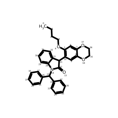 CCCCOc1cc2c(cc1C1C(=O)N(C(c3ccccc3)c3ccccc3)c3ccccc31)OCCO2